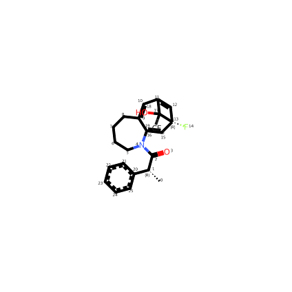 C[C@@H](C(=O)N1CCCCC2=CC3=C[C@@](F)(C=C21)C3(O)C(F)(F)F)c1ccccc1